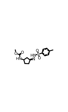 COC(=O)NC1CCC(=NNS(=O)(=O)c2ccc(C)cc2)C1